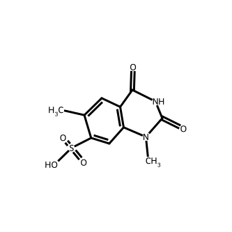 Cc1cc2c(=O)[nH]c(=O)n(C)c2cc1S(=O)(=O)O